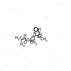 Cc1cc2c(s1)Nc1ccccc1N=C2N1CC[N+](C)(COC(=O)NC(C)C)CC1